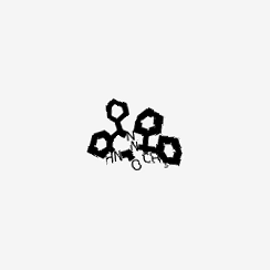 CC(c1ccccc1)(c1ccccc1)N1N=C(C2CCCCC2)c2ccccc2NC1=O